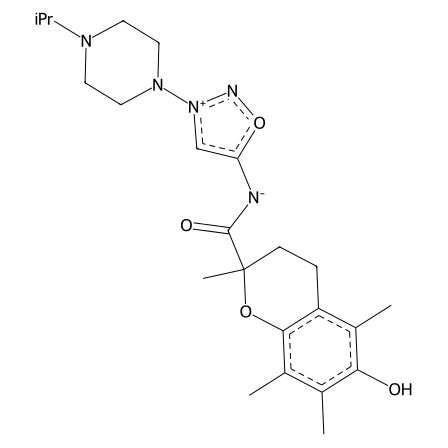 Cc1c(C)c2c(c(C)c1O)CCC(C)(C(=O)[N-]c1c[n+](N3CCN(C(C)C)CC3)no1)O2